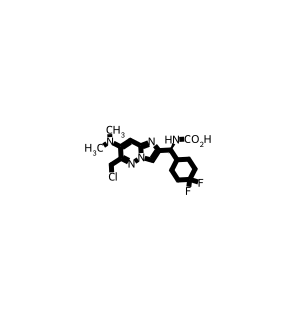 CN(C)c1cc2nc([C@@H](NC(=O)O)C3CCC(F)(F)CC3)cn2nc1CCl